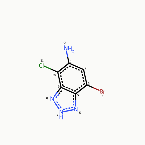 Nc1cc(Br)c2n[nH]nc2c1Cl